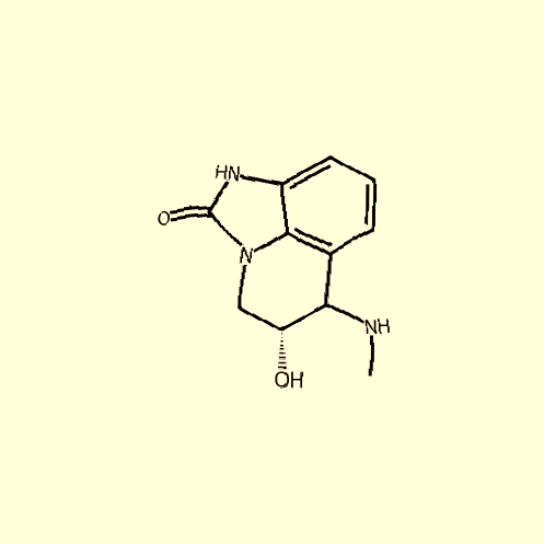 CNC1c2cccc3[nH]c(=O)n(c23)C[C@H]1O